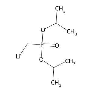 [Li][CH2]P(=O)(OC(C)C)OC(C)C